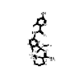 Cc1cc(C#N)cnc1C(=O)Nc1ccc(F)c([C@]2(CF)C[S@@]3(=O)=NCCC[C@]3(C)C(N)=N2)n1